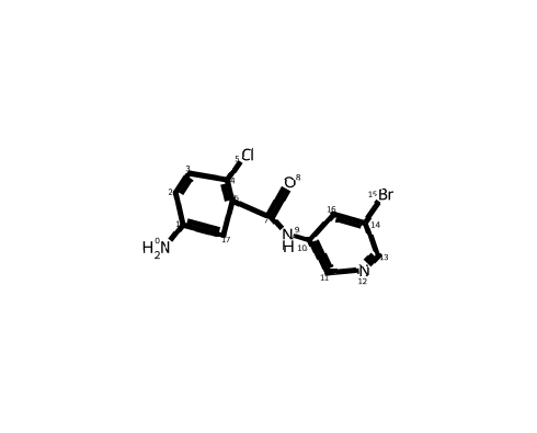 Nc1ccc(Cl)c(C(=O)Nc2cncc(Br)c2)c1